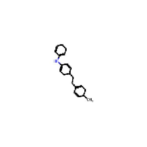 CC1C=CC(CCC2C=CC(NC3=CCCC=C3)=CC2)=CC1